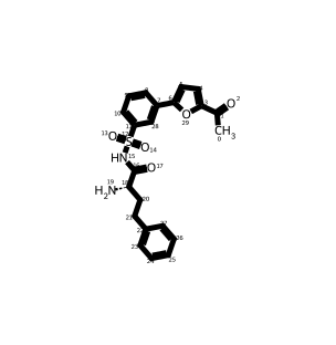 CC(=O)c1ccc(-c2cccc(S(=O)(=O)NC(=O)[C@@H](N)CCc3ccccc3)c2)o1